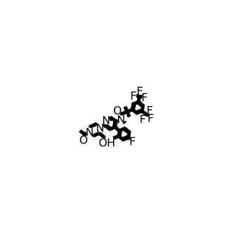 CC(=O)N1CCN(c2cc(-c3ccc(F)cc3C)c(N(C)C(=O)C(C)(C)c3cc(C(F)(F)F)cc(C(F)(F)F)c3)cn2)C(CO)C1